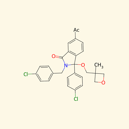 CC(=O)c1ccc2c(c1)C(=O)N(Cc1ccc(Cl)cc1)C2(OCC1(C)COC1)c1ccc(Cl)cc1